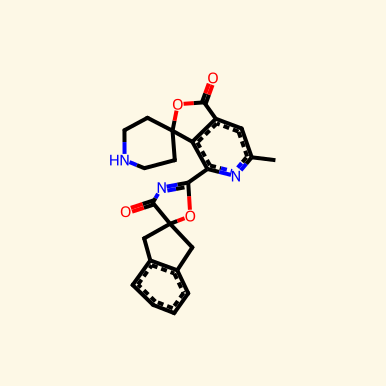 Cc1cc2c(c(C3=NC(=O)C4(Cc5ccccc5C4)O3)n1)C1(CCNCC1)OC2=O